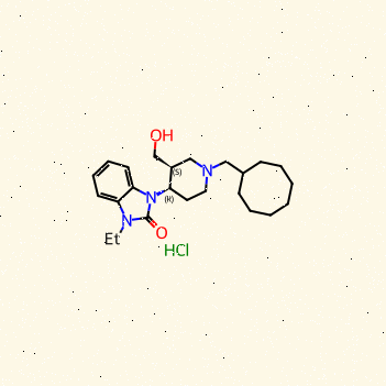 CCn1c(=O)n([C@@H]2CCN(CC3CCCCCCC3)C[C@@H]2CO)c2ccccc21.Cl